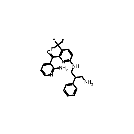 NCC(CNc1ccc(C(F)(F)F)c(C(=O)c2cccnc2N)n1)c1ccccc1